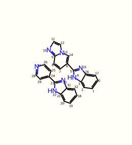 c1ccc2[nH]c(-c3ccc4nccn4c3)nc2c1.c1ccc2[nH]c(-c3ccncc3)nc2c1